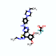 CCNc1nc(-c2cc(OC)cc(OC)c2)c(-c2ccnc(Nc3ccc(N4CCN(CC)CC4)cc3)n2)s1.O=C(O)C(F)(F)F